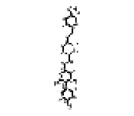 Cc1ccc(CCC2CCC(CCc3cc(F)c(-c4ccc(Cl)cc4)c(F)c3)CC2)cc1